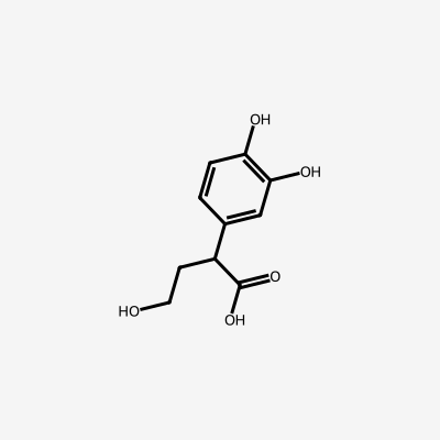 O=C(O)C(CCO)c1ccc(O)c(O)c1